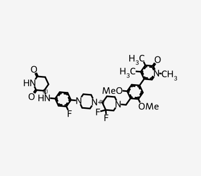 COc1cc(-c2cn(C)c(=O)c(C)c2C)cc(OC)c1CN1CC[C@@H](N2CCN(c3ccc(N[C@@H]4CCC(=O)NC4=O)cc3F)CC2)C(F)(F)C1